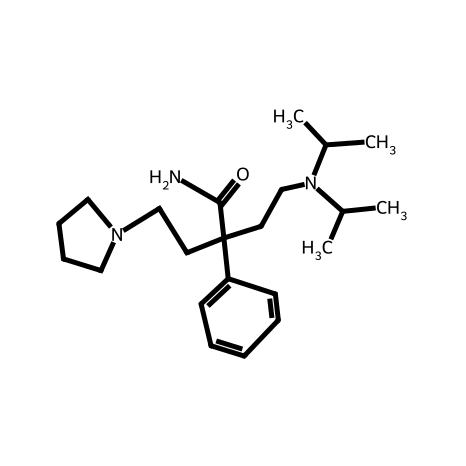 CC(C)N(CCC(CCN1CCCC1)(C(N)=O)c1ccccc1)C(C)C